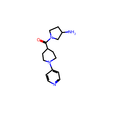 NC1CCN(C(=O)C2CCN(c3ccncc3)CC2)C1